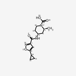 C[C@H]1C[C@@H](NC(=O)c2cc(C3CC3)on2)CCN1C(=O)O